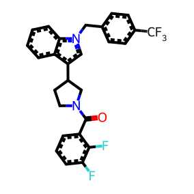 O=C(c1cccc(F)c1F)N1CCC(c2cn(Cc3ccc(C(F)(F)F)cc3)c3ccccc23)C1